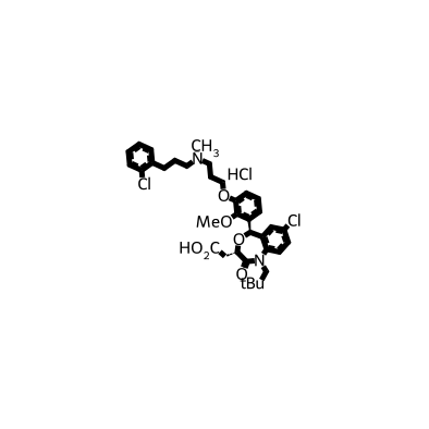 COc1c(OCCCN(C)CCCc2ccccc2Cl)cccc1[C@@H]1O[C@@H](CC(=O)O)C(=O)N(CC(C)(C)C)c2ccc(Cl)cc21.Cl